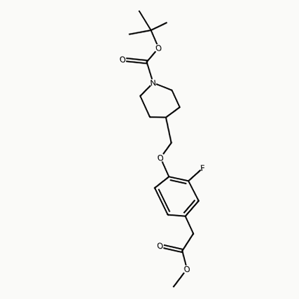 COC(=O)Cc1ccc(OCC2CCN(C(=O)OC(C)(C)C)CC2)c(F)c1